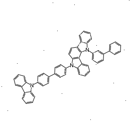 c1ccc(-c2cccc(-n3c4ccccc4c4ccc5c(c6ccccc6n5-c5ccc(-c6ccc(-n7c8ccccc8c8ccccc87)cc6)cc5)c43)c2)cc1